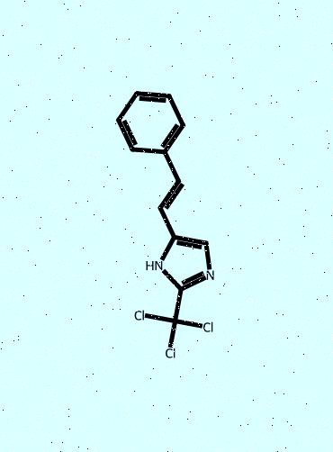 ClC(Cl)(Cl)c1ncc(C=Cc2ccccc2)[nH]1